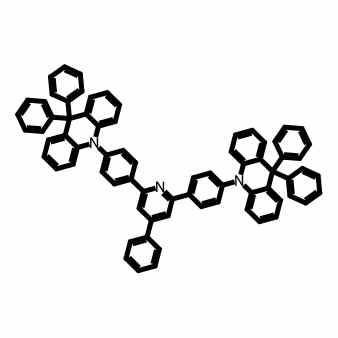 c1ccc(-c2cc(-c3ccc(N4c5ccccc5C(c5ccccc5)(c5ccccc5)c5ccccc54)cc3)nc(-c3ccc(N4c5ccccc5C(c5ccccc5)(c5ccccc5)c5ccccc54)cc3)c2)cc1